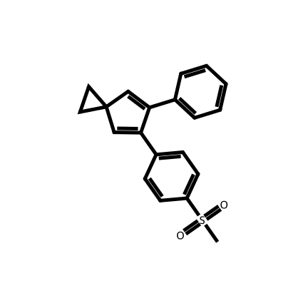 CS(=O)(=O)c1ccc(C2=CC3(C=C2c2ccccc2)CC3)cc1